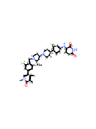 COc1cc(-c2cn(C)c(=O)c(C)c2C)cc(Cl)c1CN1CCC(N2CCC(c3ccc(NC4CCC(=O)NC4=O)cc3F)CC2)CC1